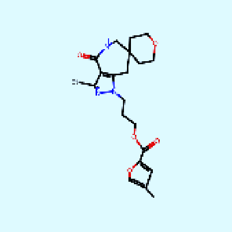 CCc1nn(CCCOC(=O)c2cc(C)co2)c2c1C(=O)NCC1(CCOCC1)C2